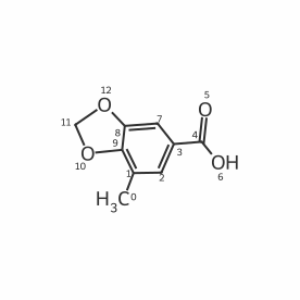 Cc1cc(C(=O)O)cc2c1OCO2